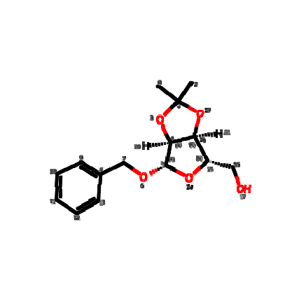 CC1(C)O[C@@H]2[C@@H](OCc3ccccc3)O[C@@H](CO)[C@@H]2O1